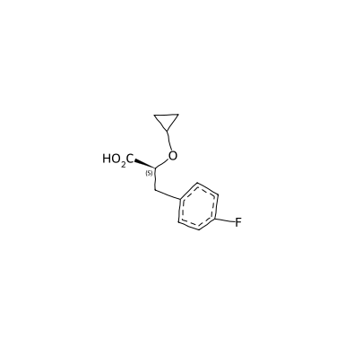 O=C(O)[C@H](Cc1ccc(F)cc1)OC1CC1